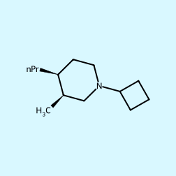 CCC[C@H]1CCN(C2CCC2)C[C@H]1C